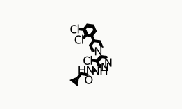 O=C(CC1CC1)NNc1nncc(N2CCC(c3cccc(Cl)c3Cl)CC2)c1Cl